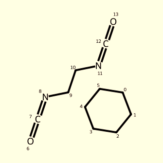 C1CCCCC1.O=C=NCCN=C=O